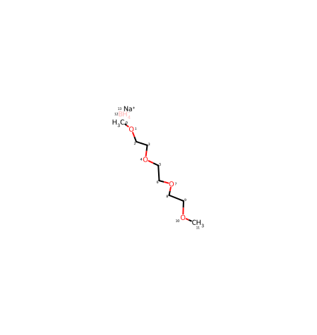 COCCOCCOCCOC.[BH4-].[Na+]